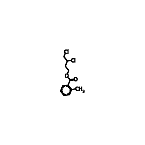 Cc1ccccc1C(=O)OCCC(Cl)CCl